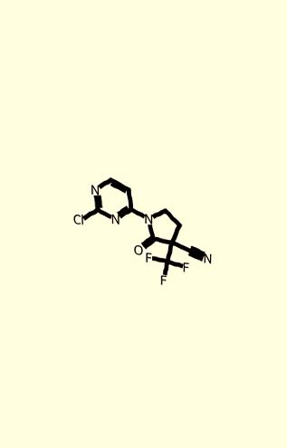 N#CC1(C(F)(F)F)CCN(c2ccnc(Cl)n2)C1=O